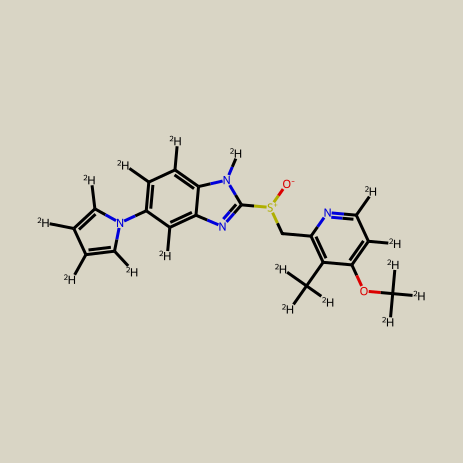 [2H]c1nc(C[S+]([O-])c2nc3c([2H])c(-n4c([2H])c([2H])c([2H])c4[2H])c([2H])c([2H])c3n2[2H])c(C([2H])([2H])[2H])c(OC([2H])([2H])[2H])c1[2H]